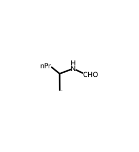 [CH2]C(C[CH]C)NC=O